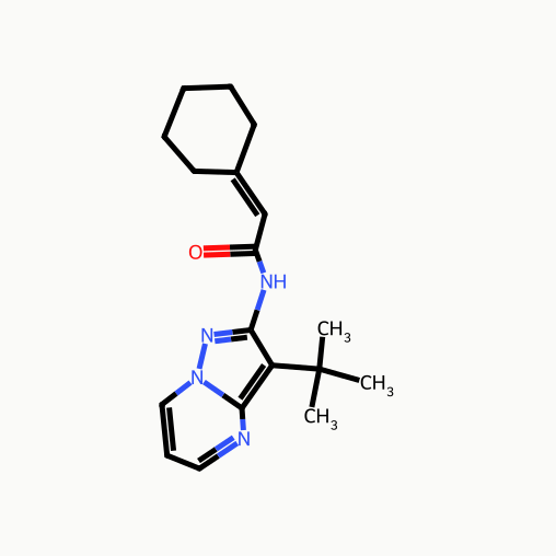 CC(C)(C)c1c(NC(=O)C=C2CCCCC2)nn2cccnc12